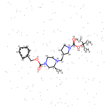 C[C@H]1CN(C(=O)OCc2ccccc2)CCN1C[C@H]1CCN(C(=O)OC(C)(C)C)C1